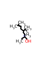 CC/C(=C\CC(CC=C(C)C)C(C)C)CO